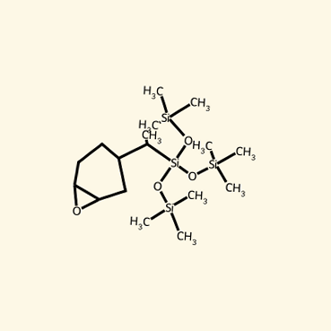 CC(C1CCC2OC2C1)[Si](O[Si](C)(C)C)(O[Si](C)(C)C)O[Si](C)(C)C